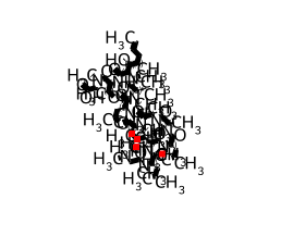 CC=CC[C@@H](C)[C@@H](O)[C@@H](C(=O)N[C@H](C(=O)N(C)CC(=O)O)[C@@H](C)O)N(C)C(=O)[C@H](C(C)C)N(C)C(=O)[C@H](CC(C)C)NC(=O)[C@H](CC(C)C)N(C)C(=O)[C@@H](C)NC(=O)[C@H](C)NC(=O)[C@H](CC(C)C)N(C)C(=O)[C@H](CC(C)C)NC(=O)[C@H](CC(C)C)N(C)C(=O)CNC